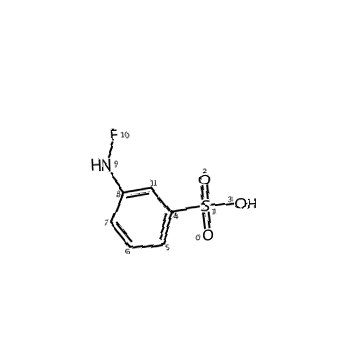 O=S(=O)(O)c1cccc(NF)c1